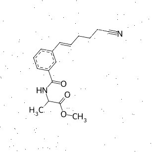 COC(=O)C(C)NC(=O)c1cccc(C=CCCCC#N)c1